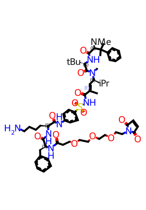 CN[C@H](C(=O)N[C@H](C(=O)N(C)[C@H](/C=C(\C)C(=O)NS(=O)(=O)c1ccc(NC(=O)[C@H](CCCCN)NC(=O)[C@H](Cc2ccccc2)NC(=O)CCOCCOCCOCCN2C(=O)C=CC2=O)cc1)C(C)C)C(C)(C)C)C(C)(C)c1ccccc1